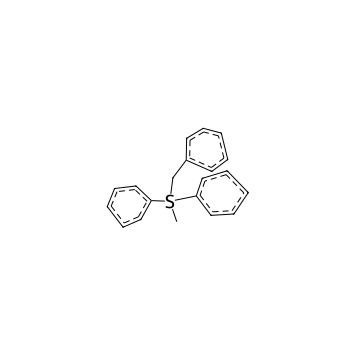 CS(Cc1ccccc1)(c1ccccc1)c1ccccc1